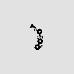 Fc1ccccc1-c1ccc2nc(-c3cccc(OCC4CC4)c3)oc2c1